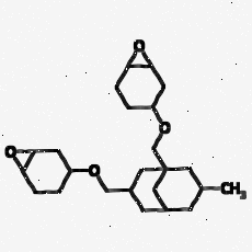 CC1CC2CC(COC3CCC4OC4C3)CC(COC3CCC4OC4C3)(C1)C2